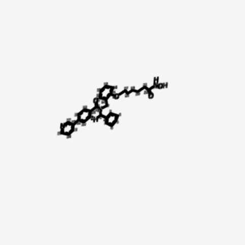 [2H]C(c1ccccc1)N(Cc1ccccc1OCCCCCC(=O)NO)C(=O)c1ccc(-c2cccnc2)cc1